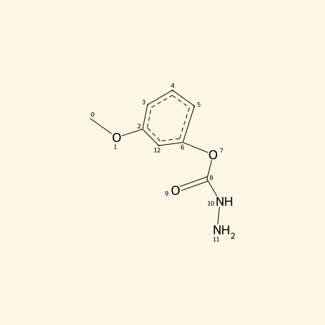 COc1cccc(OC(=O)NN)c1